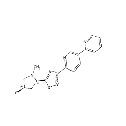 CN1C[C@H](F)C[C@@H]1c1nc(-c2ccc(-c3ccccn3)cn2)no1